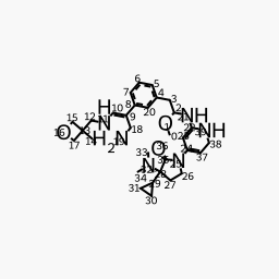 COC(Cc1cccc(/C(=C/NCC2(C)COC2)CN)c1)NC1=CC(N2CCC(C3CC3)(N(C)C)C2=O)=CCN1